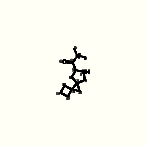 CN(C)C(=O)C1CC2(CN1)CC21CCC1